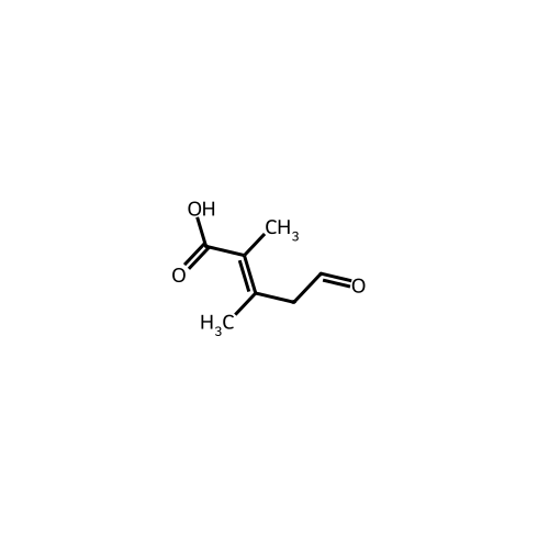 CC(CC=O)=C(C)C(=O)O